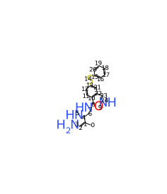 C/C(=C/N)C(=N)CNC(=O)c1ccc(Sc2ccccc2)cc1C=N